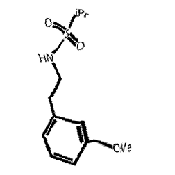 COc1cccc(CCNS(=O)(=O)C(C)C)c1